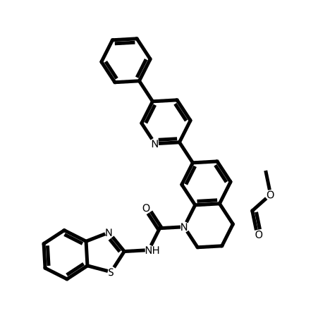 COC=O.O=C(Nc1nc2ccccc2s1)N1CCCc2ccc(-c3ccc(-c4ccccc4)cn3)cc21